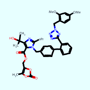 CCCc1nc(C(C)(C)O)c(C(=O)OCc2oc(=O)oc2C)n1Cc1ccc(-c2ccccc2-c2nnn(Cc3ccc(OC)cc3OC)n2)cc1